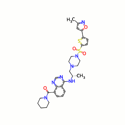 Cc1cc(-c2ccc(S(=O)(=O)N3CCN(C[C@H](C)Nc4ncnc5c(C(=O)N6CCCCC6)cccc45)CC3)s2)on1